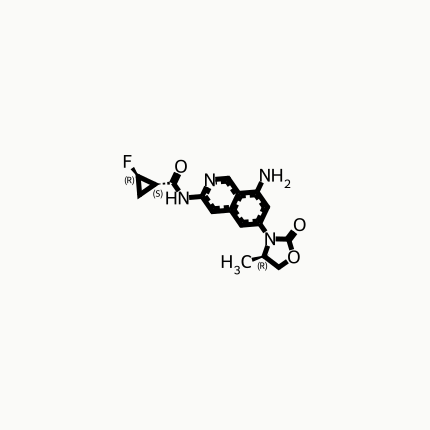 C[C@@H]1COC(=O)N1c1cc(N)c2cnc(NC(=O)[C@@H]3C[C@H]3F)cc2c1